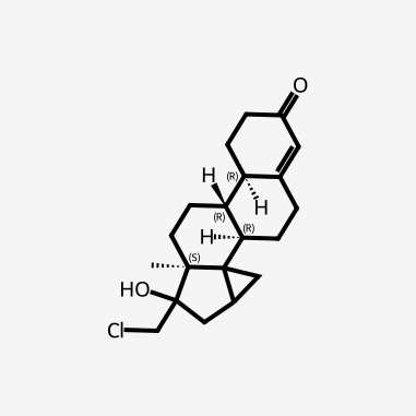 C[C@]12CC[C@H]3[C@@H](CCC4=CC(=O)CC[C@@H]43)C13CC3CC2(O)CCl